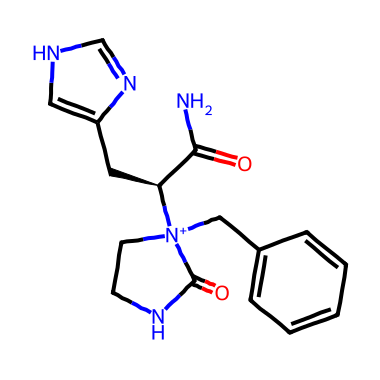 NC(=O)[C@H](Cc1c[nH]cn1)[N+]1(Cc2ccccc2)CCNC1=O